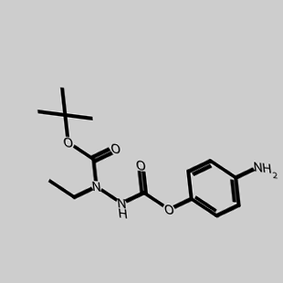 CCN(NC(=O)Oc1ccc(N)cc1)C(=O)OC(C)(C)C